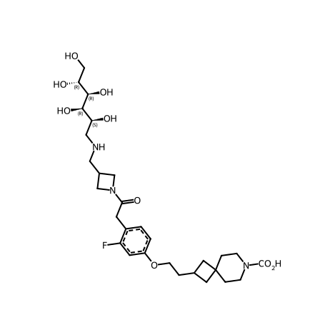 O=C(O)N1CCC2(CC1)CC(CCOc1ccc(CC(=O)N3CC(CNC[C@H](O)[C@@H](O)[C@H](O)[C@H](O)CO)C3)c(F)c1)C2